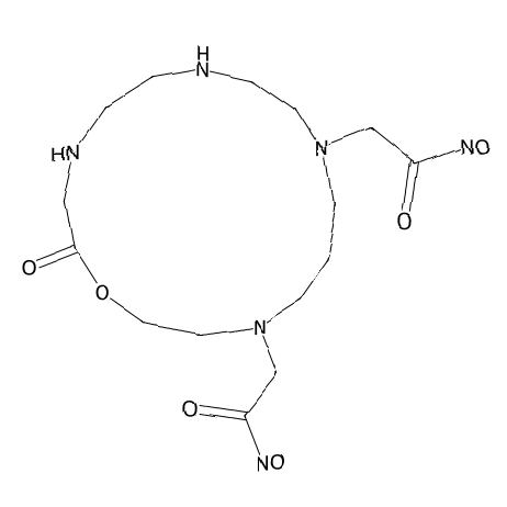 O=NC(=O)CN1CCCN(CC(=O)N=O)CCOC(=O)CNCCNCC1